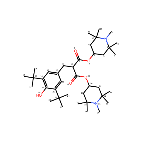 CN1C(C)(C)CC(OC(=O)C(Cc2cc(C(C)(C)C)c(O)c(C(C)(C)C)c2)C(=O)OC2CC(C)(C)N(C)C(C)(C)C2)CC1(C)C